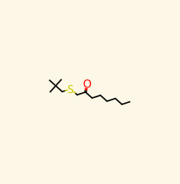 CCCCCCC(=O)CSCC(C)(C)C